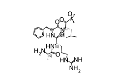 CC(C)C[C@H](NC(=O)[C@H](Cc1ccccc1)NC(=O)[C@H](CCCNC(=N)N)NC(=O)[C@H](C)N)C(=O)[C@@]1(C)CO1